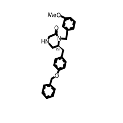 COc1cccc(CN2C(=O)CNC[C@@H]2Cc2ccc(OCc3ccccc3)cc2)c1